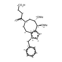 CO[C@H]1CN(C(=O)CCC(=O)O)CCc2c(nnn2Cc2ccccc2)[C@@H]1OC